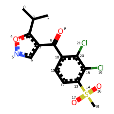 CC(C)c1oncc1C(=O)c1ccc(S(C)(=O)=O)c(Cl)c1Cl